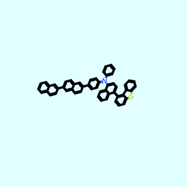 c1ccc(N(c2ccc(-c3ccc4cc(-c5ccc6ccccc6c5)ccc4c3)cc2)c2ccc(-c3cccc4sc5ccccc5c34)c3ccccc23)cc1